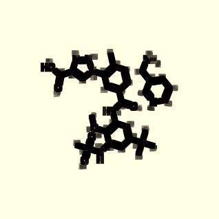 COc1c(NC(=O)c2ccc(C)c(-n3cc(C(=O)O)nn3)c2)cc(C(C)(C)C)cc1NS(C)(=O)=O.NCc1cccnc1